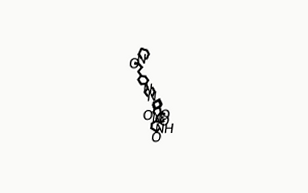 O=C1CCC(N2C(=O)c3ccc(N4CCN(C5CCC(CCC(=O)N6CCCCC6)CC5)CC4)cc3C2=O)C(=O)N1